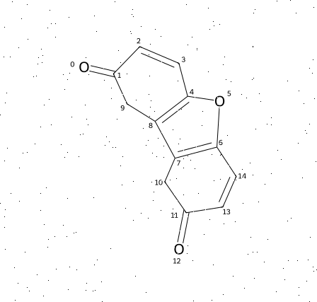 O=C1C=Cc2oc3c(c2C1)CC(=O)C=C3